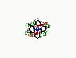 OC1(O)C([N+](C2=C(Cl)C(Cl)(Cl)CC(Cl)(Br)C2(O)O)(c2ccccc2)c2ccccc2)=C(Cl)C(Cl)(Cl)CC1(Cl)Br